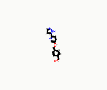 OCc1ccc(COc2ccc(-c3ccn[nH]3)nc2)cc1